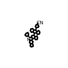 N#Cc1ccc(-c2c3ccccc3c(-c3cc4c(-c5ccccc5)nc5cc6ccccc6cc5c4c4ccccc34)c3ccccc23)cc1